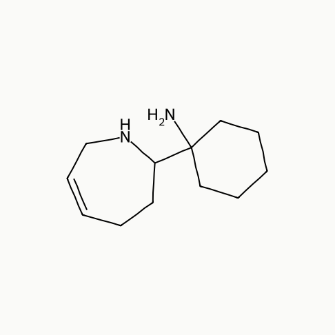 NC1(C2CCC=CCN2)CCCCC1